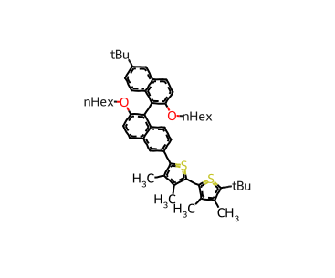 CCCCCCOc1ccc2cc(-c3sc(-c4sc(C(C)(C)C)c(C)c4C)c(C)c3C)ccc2c1-c1c(OCCCCCC)ccc2cc(C(C)(C)C)ccc12